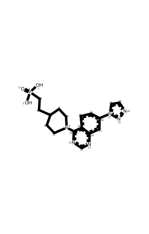 O=P(O)(O)CCC1CCN(c2ncnc3cc(-n4ccnn4)ccc23)CC1